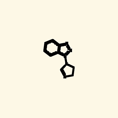 C1=NCCN1n1nnc2ccccc21